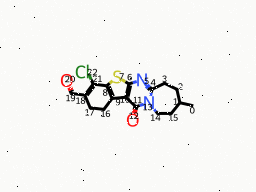 CC1CCc2nc3sc4c(c3c(=O)n2CC1)CCC(C=O)=C4Cl